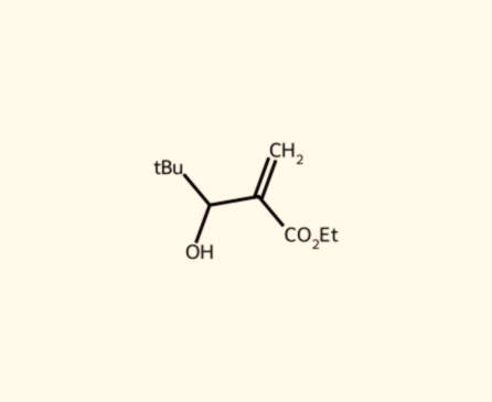 C=C(C(=O)OCC)C(O)C(C)(C)C